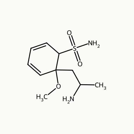 COC1(CC(C)N)C=CC=CC1S(N)(=O)=O